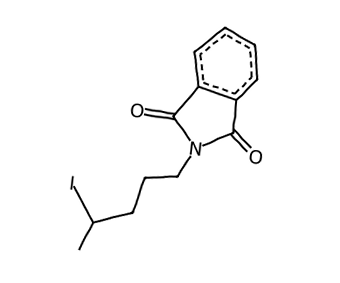 CC(I)CCCN1C(=O)c2ccccc2C1=O